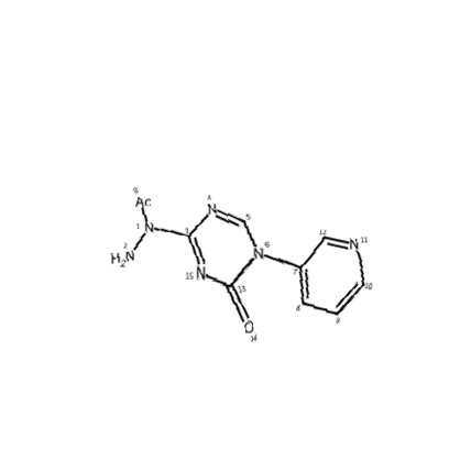 CC(=O)N(N)c1ncn(-c2cccnc2)c(=O)n1